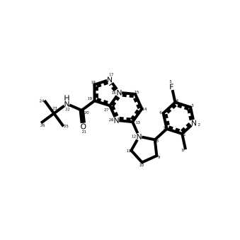 Cc1ncc(F)cc1C1CCCN1c1ccn2ncc(C(=O)NC(C)(C)C)c2n1